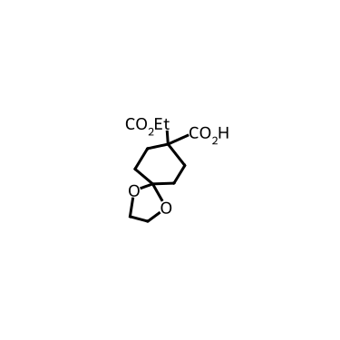 CCOC(=O)C1(C(=O)O)CCC2(CC1)OCCO2